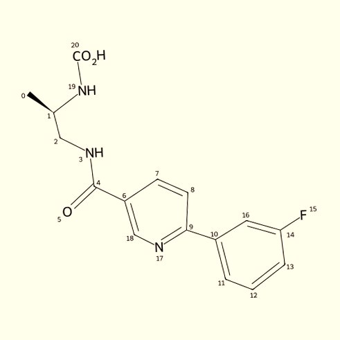 C[C@H](CNC(=O)c1ccc(-c2cccc(F)c2)nc1)NC(=O)O